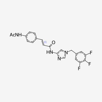 CC(=O)Nc1ccc(/C=C/C(=O)Nc2cn(Cc3cc(F)c(F)c(F)c3)cn2)cc1